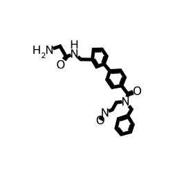 NCC(=O)NCc1cccc(-c2ccc(C(=O)N(CCN=O)Cc3ccccc3)cc2)c1